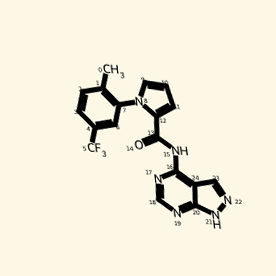 Cc1ccc(C(F)(F)F)cc1-n1cccc1C(=O)Nc1ncnc2[nH]ncc12